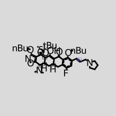 CCCCOc1noc2c1C(=O)[C@@]1(O[Si](C)(C)C(C)(C)C)C(O)=C3C(=O)c4c(c(F)cc(/C=C/CN5CCCC5)c4OCCCC)C[C@H]3C[C@H]1[C@@H]2N(C)C